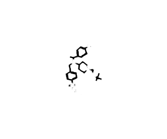 CC(c1ccc(Br)cc1)N(Cc1ccc(S(N)(=O)=O)cc1)C1CCN(C(=O)OC(C)(C)C)CC1